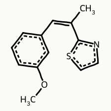 COc1cccc(C=C(C)c2nccs2)c1